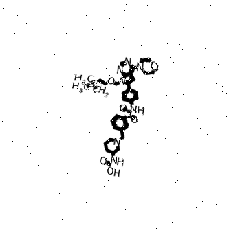 C[Si](C)(C)CCOCn1c(-c2ccc(NS(=O)(=O)c3cccc(CN4CCCC(NC(=O)O)C4)c3)cc2)cc2c(N3CCOCC3)ncnc21